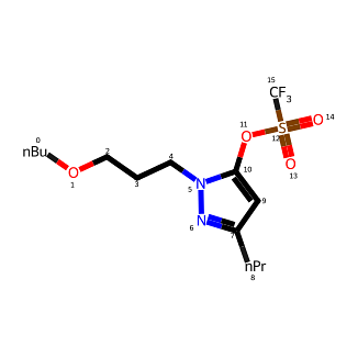 CCCCOCCCn1nc(CCC)cc1OS(=O)(=O)C(F)(F)F